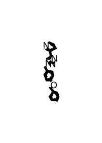 c1ccc(COc2ccc(Cn3cc(-c4cccnc4)nn3)cc2)cc1